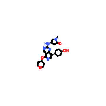 CN1C[C@H](Nc2ncc3c(OC4CCOCC4)ncc([C@H]4CC[C@H](O)CC4)c3n2)CC1=O